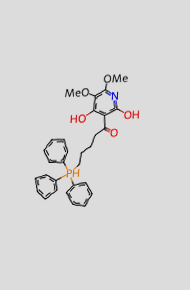 COc1nc(O)c(C(=O)CCCC[PH](c2ccccc2)(c2ccccc2)c2ccccc2)c(O)c1OC